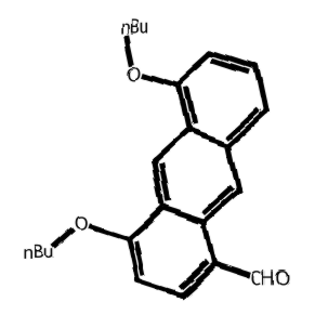 CCCCOc1cccc2cc3c(C=O)ccc(OCCCC)c3cc12